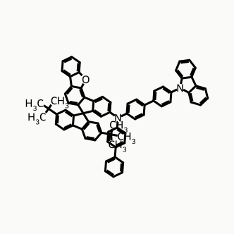 CC(C)(C)c1ccc2c(c1)C1(c3cc(C(C)(C)C)ccc3-2)c2cc(N(c3ccc(-c4ccccc4)cc3)c3ccc(-c4ccc(-n5c6ccccc6c6ccccc65)cc4)cc3)ccc2-c2c1ccc1c2oc2ccccc21